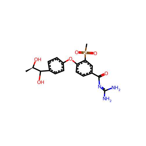 C[C@@H](O)C(O)c1ccc(Oc2ccc(C(=O)N=C(N)N)cc2S(C)(=O)=O)cc1